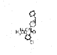 COc1ccc(Cl)cc1C(=O)N(C)C1CCN(Cc2ccccc2)CC1